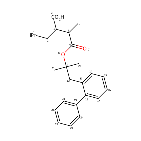 CC(C)CC(C(=O)O)C(C)C(=O)OC(C)(C)Cc1ccccc1-c1ccccc1